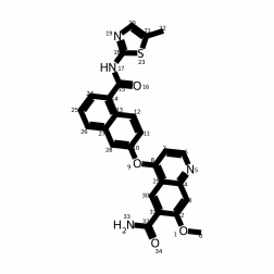 COc1cc2nccc(Oc3ccc4c(C(=O)Nc5ncc(C)s5)cccc4c3)c2cc1C(N)=O